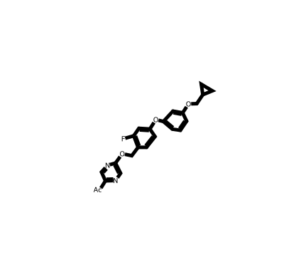 CC(=O)c1cnc(OCc2ccc(Oc3cccc(OCC4CC4)c3)cc2F)cn1